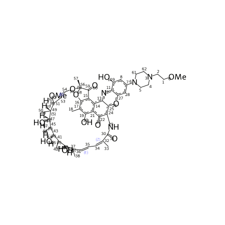 COCCN1CCN(c2cc(O)c3nc4c5c6c7c(C)c(O)c5c(=O)c(c-4oc3c2)NC(=O)/C(C)=C\C=C\[C@H](C)[C@H](O)[C@@H](C)[C@@H](O)[C@@H](C)[C@H](O)[C@H](C)[C@@H](OC)/C=C/O[C@@](C)(O7)C6=O)CC1